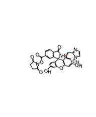 Cn1ccnc1/C=N/N1C(=O)c2ccc(C(=O)ON3C(=O)CCC3=O)cc2C12c1ccc(O)cc1Oc1cc(O)ccc12